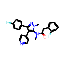 CN(C(=O)Cc1ccccc1F)c1c(-c2ccncc2)c(-c2ccc(F)cc2)nn1C